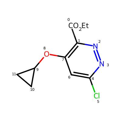 CCOC(=O)c1nnc(Cl)cc1OC1CC1